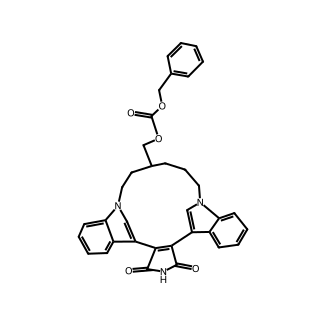 O=C(OCc1ccccc1)OCC1CCCn2cc(c3ccccc32)C2=C(C(=O)NC2=O)c2cn(c3ccccc23)CC1